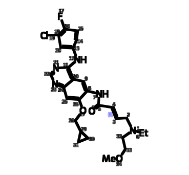 CCN(C/C=C/C(=O)Nc1cc2c(Nc3ccc(F)c(Cl)c3)ncnc2cc1OCC1CC1)CCOC